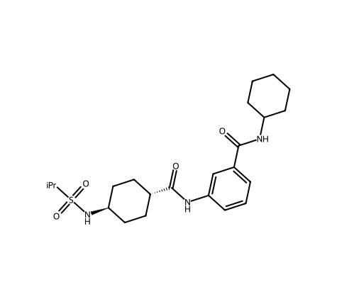 CC(C)S(=O)(=O)N[C@H]1CC[C@H](C(=O)Nc2cccc(C(=O)NC3CCCCC3)c2)CC1